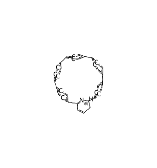 C1=CC2=N[C@H](C1)c1ccc(cc1)-c1ccc(cc1)-c1ccc(cc1)-c1ccc(cc1)-c1ccc2cc1